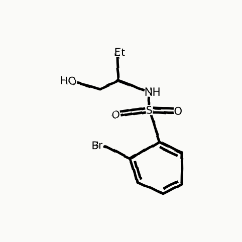 CCC(CO)NS(=O)(=O)c1ccccc1Br